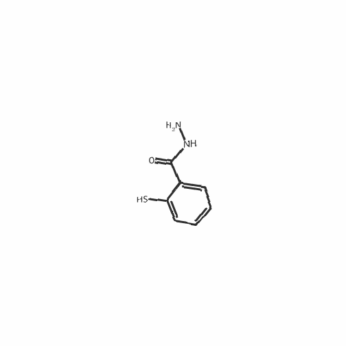 NNC(=O)c1ccccc1S